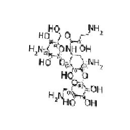 NCC[C@H](O)C(=O)NC1C[C@H](N)[C@@H](O[C@H]2O[C@H](CN)[C@H](O)[C@H](O)[C@H]2O)[C@H](O)[C@H]1O[C@H]1O[C@H](CO)[C@@H](O)[C@H](N)[C@H]1O